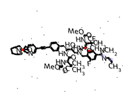 C=N/C(=N\C=C/C)c1cc(F)c(CN(C[C@H](O)[C@H](Cc2ccc(C#Cc3ccc(N4CC5CCC(C4)N5C4COC4)nc3)cc2)NC(=O)[C@@H](NC(=O)OC)C(C)(C)C(F)(F)F)NC(=O)[C@@H](NC(=O)OC)C(C)(C)C(F)(F)F)c(F)c1